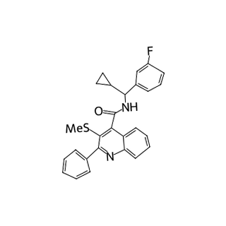 CSc1c(-c2ccccc2)nc2ccccc2c1C(=O)NC(c1cccc(F)c1)C1CC1